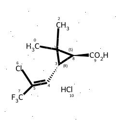 CC1(C)[C@@H](C=C(Cl)C(F)(F)F)[C@@H]1C(=O)O.Cl